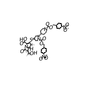 C[C@@H](O)[C@H]1C(=O)N2C(C(=O)O)=C(S[C@H]3C[C@@H](C4CCN(C(=O)OCc5ccc([N+](=O)[O-])cc5)CC4)N(C(=O)OCc4ccc([N+](=O)[O-])cc4)C3)[C@H](C)[C@H]12